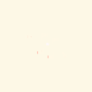 O=CC(O)/C(O)=C(\O)C(O)CO